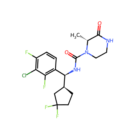 C[C@@H]1C(=O)NCCN1C(=O)N[C@H](c1ccc(F)c(Cl)c1F)[C@H]1CCC(F)(F)C1